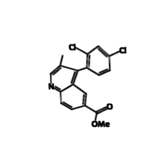 COC(=O)c1ccc2ncc(C)c(-c3ccc(Cl)cc3Cl)c2c1